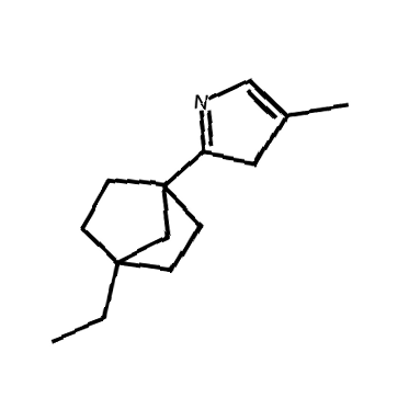 CCC12CCC(C3=NC=C(C)C3)(CC1)C2